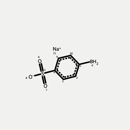 Bc1ccc(S(=O)(=O)[O-])cc1.[Na+]